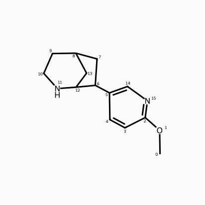 COc1ccc(C2CC3CCNC2C3)cn1